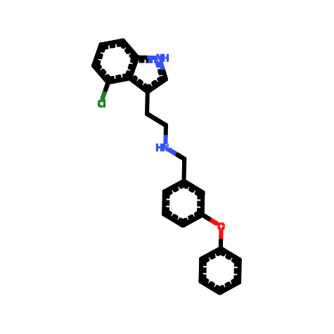 Clc1cccc2[nH]cc(CCNCc3cccc(Oc4ccccc4)c3)c12